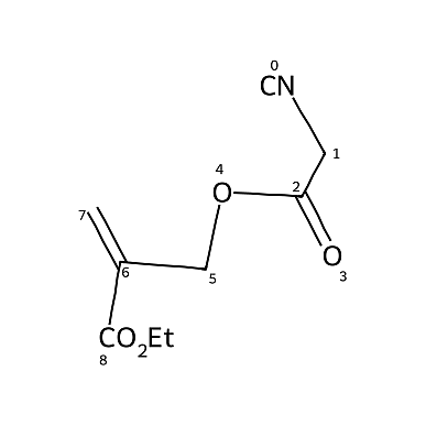 [C-]#[N+]CC(=O)OCC(=C)C(=O)OCC